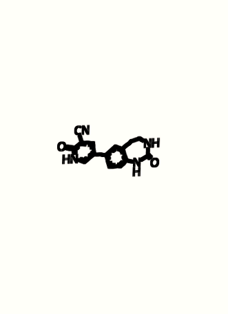 N#Cc1cc(-c2ccc3c(c2)CCNC(=O)N3)c[nH]c1=O